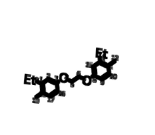 CCc1cc(OCCOc2ccc(C)c(CC)c2)ccc1C